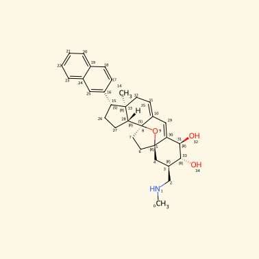 CNC[C@H]1C[C@@]23CC[C@@]4(O2)C(=CC[C@]2(C)[C@@H](c5ccc6ccccc6c5)CC[C@H]24)C=C3[C@@H](O)[C@@H]1O